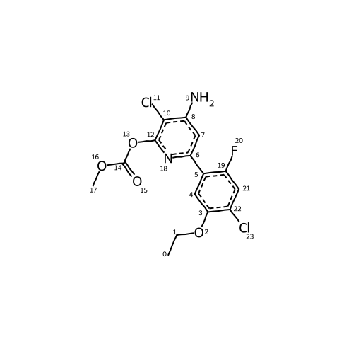 CCOc1cc(-c2cc(N)c(Cl)c(OC(=O)OC)n2)c(F)cc1Cl